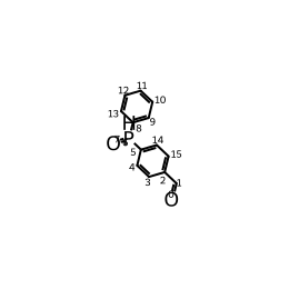 O=Cc1ccc([PH](=O)c2ccccc2)cc1